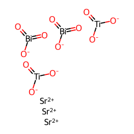 [O]=[Bi](=[O])[O-].[O]=[Bi](=[O])[O-].[O]=[Ti]([O-])[O-].[O]=[Ti]([O-])[O-].[Sr+2].[Sr+2].[Sr+2]